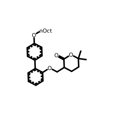 CCCCCCCCOc1ccc(-c2ccccc2OCC2CCC(C)(C)OC2=O)cc1